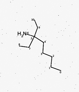 CCCCCC(N)(CC)CC